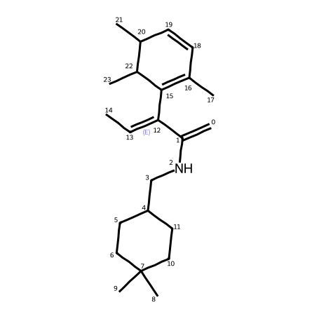 C=C(NCC1CCC(C)(C)CC1)/C(=C/C)C1=C(C)C=CC(C)C1C